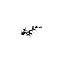 N#C[C@@H]1C[C@H]1C(=O)Nc1cc2cc(-c3c[nH]nc3C(F)(F)F)cc(Cl)c2cn1